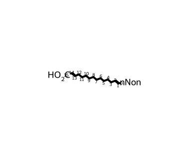 CCCCCCCCCC=CCCCCCCCCCCC=CC(=O)O